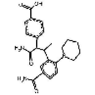 CC(c1cc(C(N)=O)ccc1N1CCCCC1)C(C(N)=O)c1ccc(C(=O)O)cc1